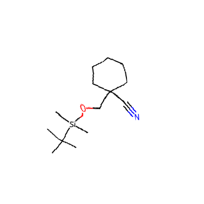 CC(C)(C)[Si](C)(C)OCC1(C#N)CCCCC1